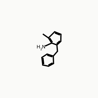 Cc1cccc(Cc2ccccc2)c1N